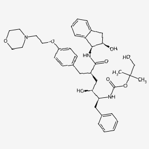 CC(C)(CO)OC(=O)N[C@@H](Cc1ccccc1)[C@@H](O)C[C@@H](Cc1ccc(OCCN2CCOCC2)cc1)C(=O)N[C@H]1c2ccccc2C[C@H]1O